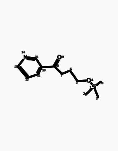 C[Si](C)(C)OCCCC(=O)c1cccnc1